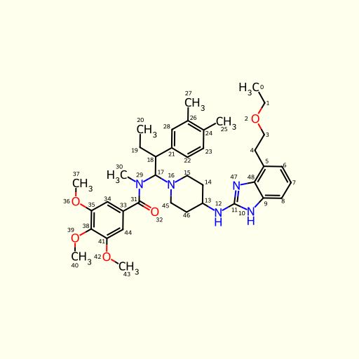 CCOCCc1cccc2[nH]c(NC3CCN(C(C(CC)c4ccc(C)c(C)c4)N(C)C(=O)c4cc(OC)c(OC)c(OC)c4)CC3)nc12